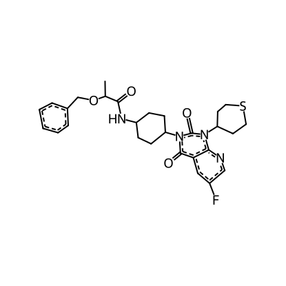 CC(OCc1ccccc1)C(=O)NC1CCC(n2c(=O)c3cc(F)cnc3n(C3CCSCC3)c2=O)CC1